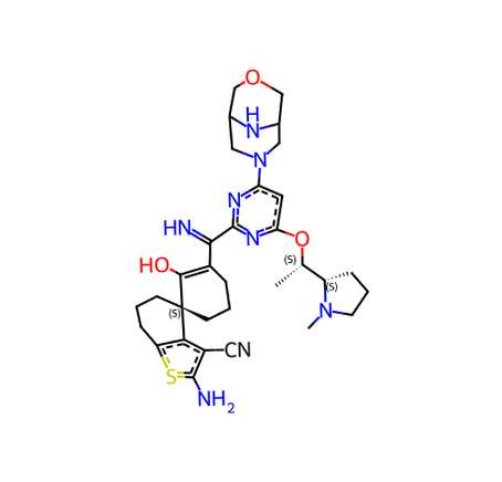 C[C@H](Oc1cc(N2CC3COCC(C2)N3)nc(C(=N)C2=C(O)[C@@]3(CCC2)CCCc2sc(N)c(C#N)c23)n1)[C@@H]1CCCN1C